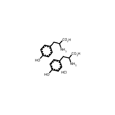 Cl.NC(Cc1ccc(O)cc1)C(=O)O.NC(Cc1ccc(O)cc1)C(=O)O